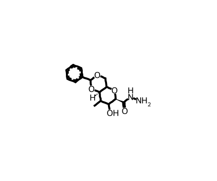 CC1C(O)[C@H](C(=O)NN)OC2COC(c3ccccc3)O[C@@H]21